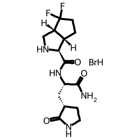 Br.NC(=O)[C@H](C[C@@H]1CCNC1=O)NC(=O)[C@H]1NC[C@H]2[C@@H]1CCC2(F)F